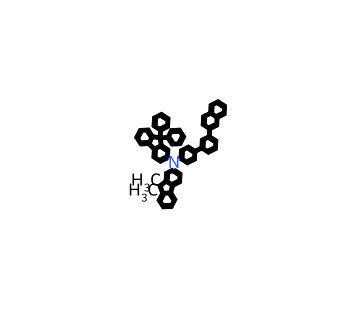 CC1(C)c2ccccc2-c2ccc(N(c3ccc(-c4cccc(-c5ccc6ccccc6c5)c4)cc3)c3ccc4c(c3)C(c3ccccc3)(c3ccccc3)c3ccccc3-4)cc21